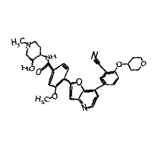 COc1cc(C(=O)NC2CCN(C)CC2O)ccc1-c1cc2nccc(-c3ccc(OC4CCOCC4)c(C#N)c3)c2o1